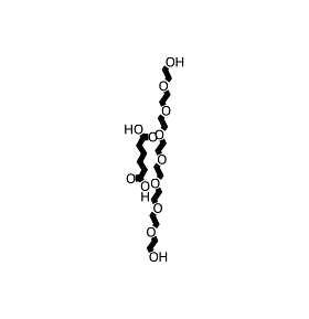 O=C(O)CCCCC(=O)O.OCCOCCOCCOCCOCCOCCOCCOCCO